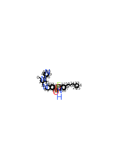 Cc1cc(CN2CCc3cc(S(=O)(=O)Nc4ccc(CCCC5CCCC5)cc4F)ccc3C2)c(C)n1-c1ccncc1